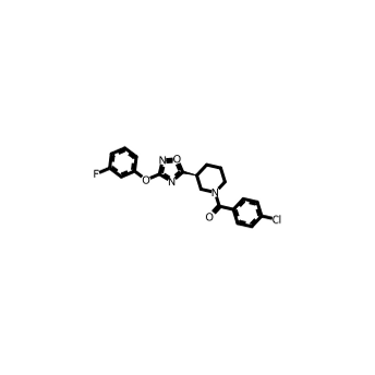 O=C(c1ccc(Cl)cc1)N1CCC[C@H](c2nc(Oc3cccc(F)c3)no2)C1